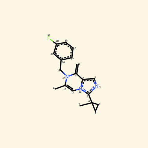 C=C1c2cnc(C3(C)CC3)n2C=C(C)N1Cc1cccc(F)c1